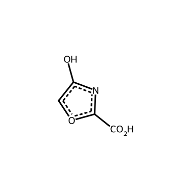 O=C(O)c1nc(O)co1